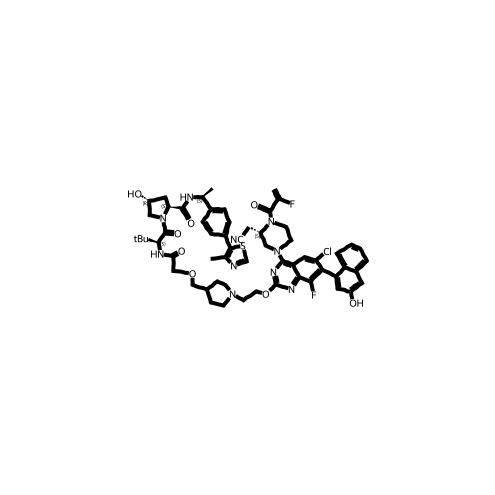 C=C(F)C(=O)N1CCN(c2nc(OCCN3CCC(COCC(=O)N[C@H](C(=O)N4C[C@H](O)C[C@H]4C(=O)N[C@@H](C)c4ccc(-c5scnc5C)cc4)C(C)(C)C)CC3)nc3c(F)c(-c4cc(O)cc5ccccc45)c(Cl)cc23)C[C@@H]1CC#N